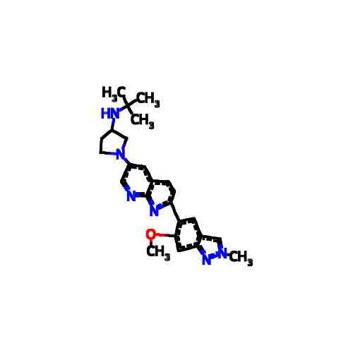 COc1cc2nn(C)cc2cc1-c1ccc2cc(N3CCC(NC(C)(C)C)C3)cnc2n1